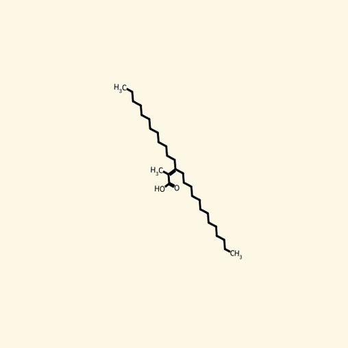 CCCCCCCCCCCCCC(CCCCCCCCCCCC)=C(C)C(=O)O